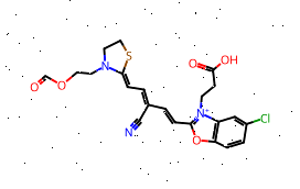 N#CC(=C\C=C1/SCCN1CCOC=O)/C=C/c1oc2ccc(Cl)cc2[n+]1CCC(=O)O